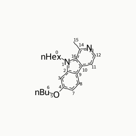 CCCCCCn1c2cc(OCCCC)ccc2c2ccnc(C)c21